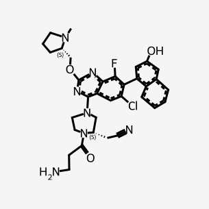 CN1CCC[C@H]1COc1nc(N2CCN(C(=O)CCN)[C@@H](CC#N)C2)c2cc(Cl)c(-c3cc(O)cc4ccccc34)c(F)c2n1